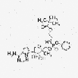 CC(C)(C)C(=O)OCCNP(=O)(OC[C@@]1(C)OCC(O)(c2ccc3c(N)ncnn23)[C@@H]1O)Oc1ccccc1